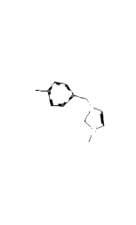 [CH2]c1ccc(CN2C=CN(C)C2)cc1